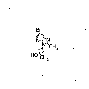 Cc1nc2cc(Br)cnc2n1C1CC(C)(O)C1